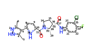 Cc1n[nH]c(C)c1-c1ccc(C(=O)N2CC[C@H](C(=O)Nc3ccc(F)c(Cl)c3)[C@@H]2C)[nH]1